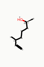 C=CC(C)CCC[C@H](C)O